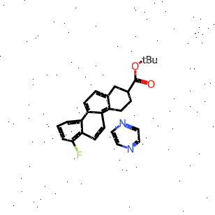 CC(C)(C)OC(=O)C1CCc2c(ccc3c2ccc2c(F)cccc23)C1.c1cnccn1